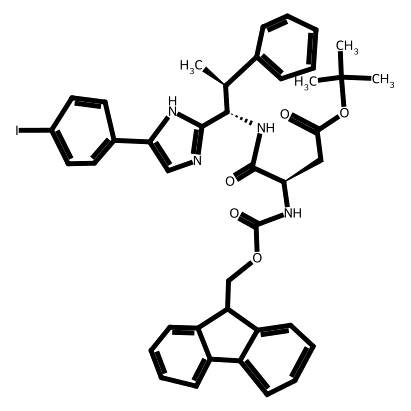 C[C@@H](c1ccccc1)[C@H](NC(=O)[C@@H](CC(=O)OC(C)(C)C)NC(=O)OCC1c2ccccc2-c2ccccc21)c1ncc(-c2ccc(I)cc2)[nH]1